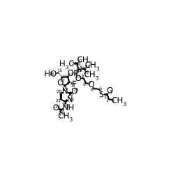 CCC(=O)SCCOCCOP(OC1[C@@H](CO)O[C@@H](n2ccc(NC(C)=O)nc2=O)[C@H]1F)N(C(C)C)C(C)C